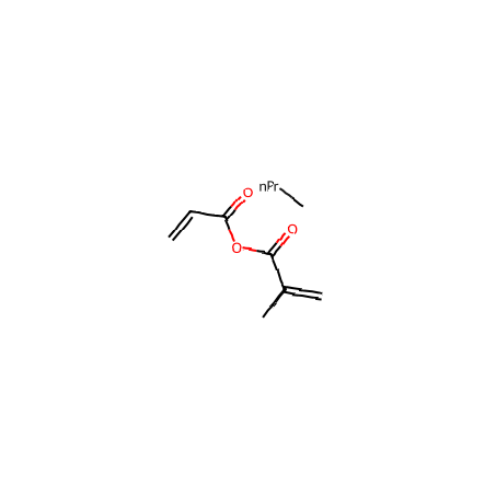 C=CC(=O)OC(=O)C(=C)C.CCCC